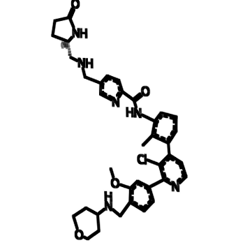 COc1cc(-c2nccc(-c3cccc(NC(=O)c4ccc(CNC[C@@H]5CCC(=O)N5)cn4)c3C)c2Cl)ccc1CNC1CCOCC1